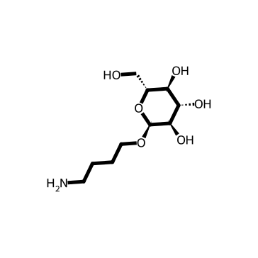 NCCCCO[C@H]1O[C@H](CO)[C@@H](O)[C@H](O)[C@H]1O